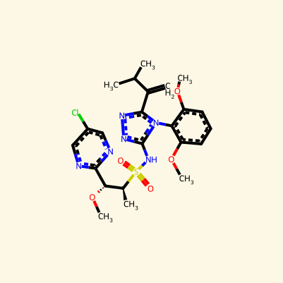 C=C(c1nnc(NS(=O)(=O)[C@@H](C)[C@H](OC)c2ncc(Cl)cn2)n1-c1c(OC)cccc1OC)C(C)C